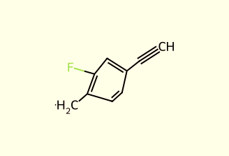 C#Cc1ccc([CH2])c(F)c1